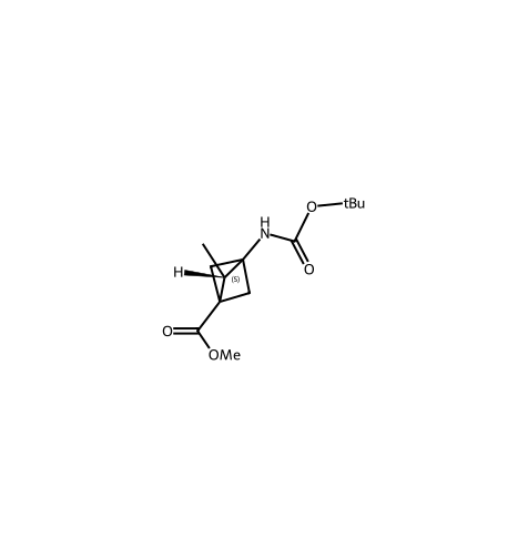 COC(=O)C12CC(NC(=O)OC(C)(C)C)(C1)[C@H]2C